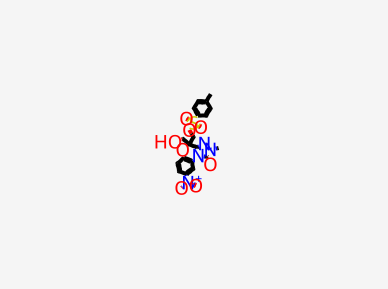 Cc1ccc(S(=O)(=O)OCC2(CO)Oc3ccc([N+](=O)[O-])cc3-n3c2nn(C)c3=O)cc1